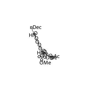 CCCCCCCCCCCCCCCC(=O)NCCOCCOCCOCCOCCC(=O)N[C@@H](COC(c1ccccc1)(c1ccc(OC)cc1)c1ccc(OC)cc1)C(=O)N1CCC(COC(=O)CCC(C)=O)CC1